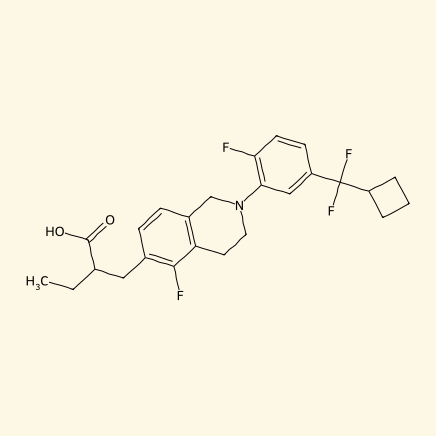 CCC(Cc1ccc2c(c1F)CCN(c1cc(C(F)(F)C3CCC3)ccc1F)C2)C(=O)O